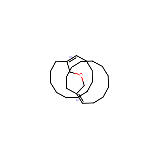 C1=C(\COC/C2=C\CCCCCCCCCC2)CCCCCCCCCC/1